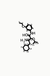 CCOc1cccc(NC(O)C(OC(C)C)[C@H](N)CC2CCCCC2)c1